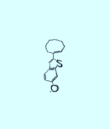 COc1ccc2cc(C3=CCCCCCC3)sc2c1